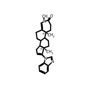 CN1C=C2CCC3C(CC[C@]4(C)C(n5cnc6ccccc65)=CCC34)[C@@]2(C)CCC1=O